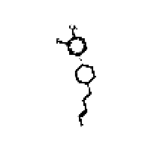 CC=CCC[C@H]1CC[C@H](c2ccc(C#N)c(F)c2)CC1